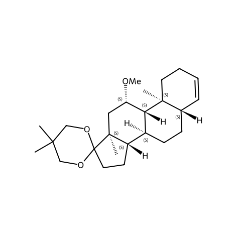 CO[C@H]1C[C@@]2(C)[C@@H](CCC23OCC(C)(C)CO3)[C@@H]2CC[C@H]3C=CCC[C@]3(C)[C@H]21